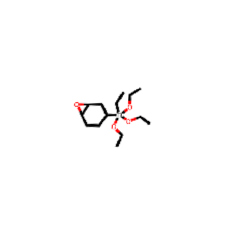 CC[O][Ti]([CH2]C)([O]CC)([O]CC)[CH]1CCC2OC2C1